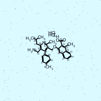 Cc1ccc(-c2c(COc3cc4ccccc4c(C)c3C(=O)O)c(C)nc(CC(C)C)c2CN)cc1.Cl.Cl